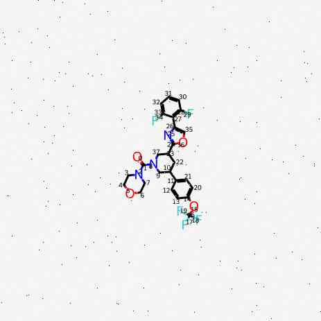 O=C(N1CCOCC1)N1CC(c2ccc(OC(F)(F)F)cc2)CC(c2nc(-c3c(F)cccc3F)co2)C1